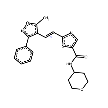 Cc1onc(-c2ccccc2)c1/C=C/c1ncc(C(=O)NC2CCOCC2)s1